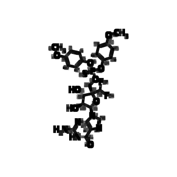 COc1ccc(OP(=S)(OC[C@@]2(C(F)F)O[C@@H](n3cnc4c(=O)[nH]c(N)nc43)[C@@H](O)[C@@H]2O)Oc2ccc(OC)cc2)cc1